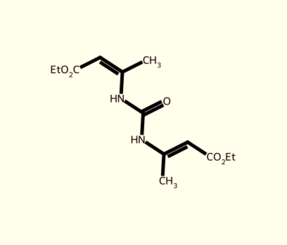 CCOC(=O)C=C(C)NC(=O)NC(C)=CC(=O)OCC